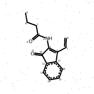 C=CC1=C(NC(=O)CCC)C(=O)c2ccccc21